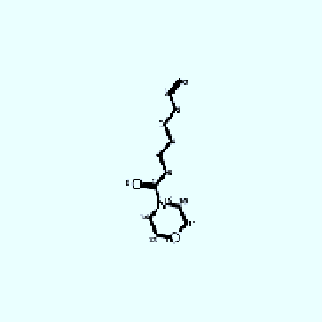 C=CCCCCCC(=O)N1CCOCC1